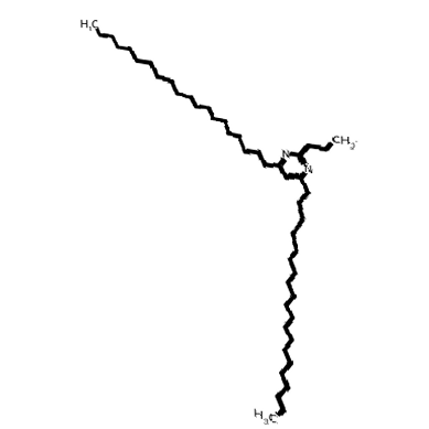 [CH2]CCc1nc(CCCCCCCCCCCCCCCCCCCC)cc(CCCCCCCCCCCCCCCCCCCC)n1